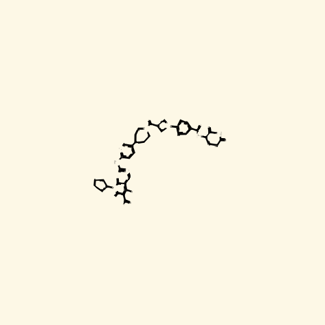 CC(=O)c1c(C)c2cnc(Nc3ccc(C4CCN(C(=O)C5CN(c6ccc(C(=O)NC7CCC(=O)NC7=O)cc6)C5)CC4)cn3)nc2n(C2CCCC2)c1=O